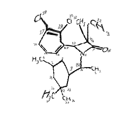 CC1CC([C@H](C)N2C(=O)C(C)(C)C2c2cccc(Cl)c2Cl)CC(C)(C)C1